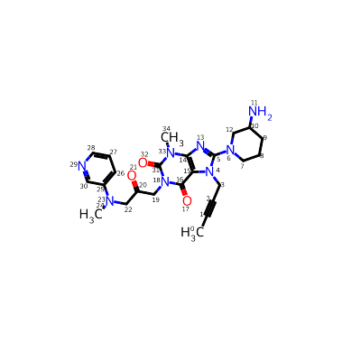 CC#CCn1c(N2CCCC(N)C2)nc2c1c(=O)n(CC(=O)CN(C)c1cccnc1)c(=O)n2C